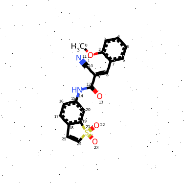 COc1ccccc1/C=C(\C#N)C(=O)Nc1ccc2c(c1)S(=O)(=O)C=C2